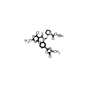 Cc1nc(Cl)c(C(=S)N(C[C@@H]2CCCN2C(=O)OC(C)(C)C)c2cccc(-c3nn(C)c(=O)o3)c2)c(Cl)n1